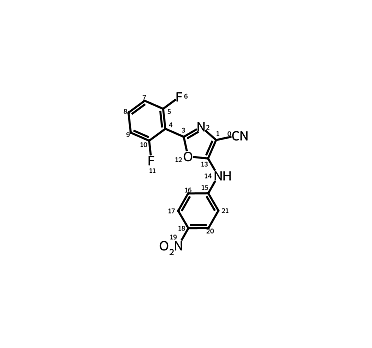 N#Cc1nc(-c2c(F)cccc2F)oc1Nc1ccc([N+](=O)[O-])cc1